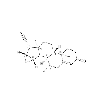 C[C@H]1CC2=CC(=O)CC[C@@H]2[C@H]2CC[C@@]3(C)C([C@@H]21)[C@@H]1C[C@@H]1[C@@H]3C#N